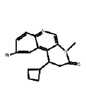 CN1C(=O)CC(C2CCC2)c2c1cnc1ccc(Br)cc21